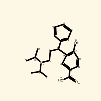 CC(C)N(CCC(c1ccccc1)c1cc(C(=O)O)ccc1O)C(C)C